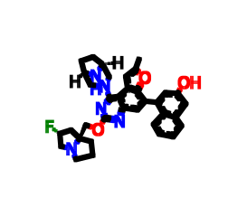 Cc1cc2c(o1)c(-c1cc(O)cc3ccccc13)cc1nc(OC[C@@]34CCCN3C[C@H](F)C4)nc(N3C[C@H]4CC[C@@H](C3)N4)c12